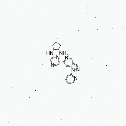 NC1CCCC1Nc1cncc(-c2cc3c(cn2)cnn3-c2ccccn2)n1